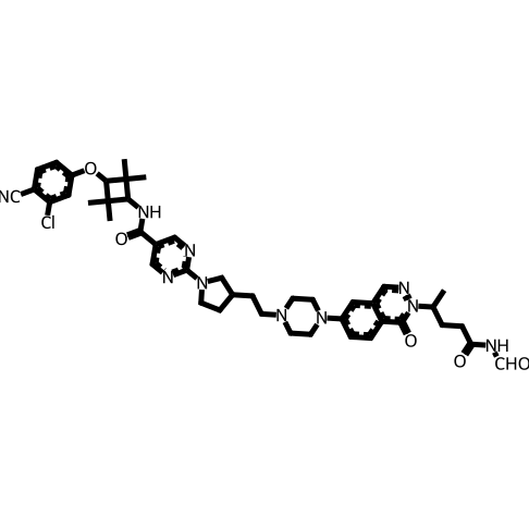 CC(CCC(=O)NC=O)n1ncc2cc(N3CCN(CCC4CCN(c5ncc(C(=O)NC6C(C)(C)C(Oc7ccc(C#N)c(Cl)c7)C6(C)C)cn5)C4)CC3)ccc2c1=O